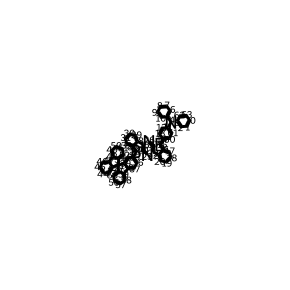 c1ccc(N(c2ccccc2)c2ccc(B3c4ccccc4-c4nc5c(nc43)-c3ccccc3B5c3ccc4c(c3)C3(c5ccccc5-c5ccccc53)c3ccccc3-4)cc2)cc1